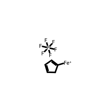 F[P-](F)(F)(F)(F)F.[Fe+][C]1=CC=CC1